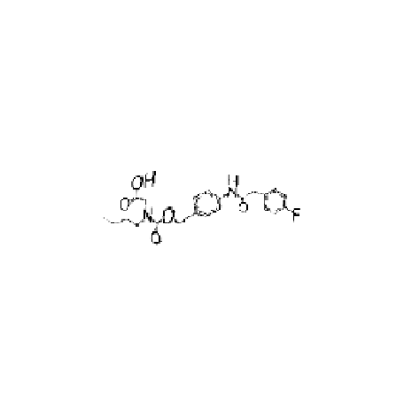 CCCCN(CC(=O)O)C(=O)OCc1ccc(NC(=O)Cc2ccc(F)cc2)cc1